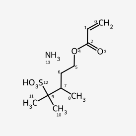 C=CC(=O)OCCC(C)C(C)(C)S(=O)(=O)O.N